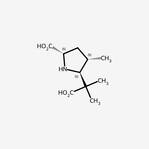 C[C@H]1C[C@@H](C(=O)O)N[C@@H]1C(C)(C)C(=O)O